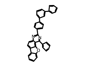 c1ccc(-c2cccc(-c3ccc(-c4nc(-c5ccccc5)c5c(ccc6c7ccccc7oc65)n4)cc3)c2)cc1